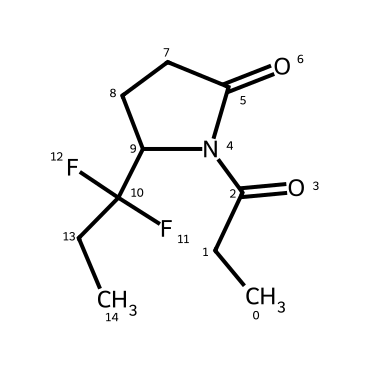 CCC(=O)N1C(=O)CCC1C(F)(F)CC